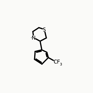 FC(F)(F)c1cccc(C2CSCC[N]2)c1